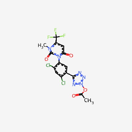 CC(=O)On1nnc(-c2cc(-n3c(=O)cc(C(F)(F)F)n(C)c3=O)c(Cl)cc2Cl)n1